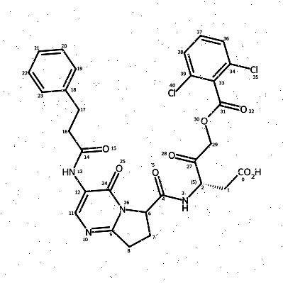 O=C(O)C[C@H](NC(=O)C1CCc2ncc(NC(=O)CCc3ccccc3)c(=O)n21)C(=O)COC(=O)c1c(Cl)cccc1Cl